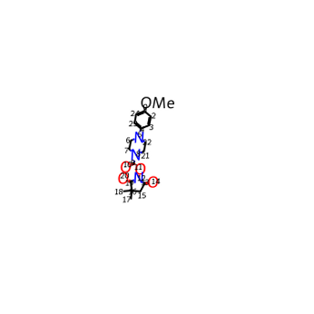 COc1ccc(N2CCN(C(=O)ON3C(=O)CC(C)(C)C3=O)CC2)cc1